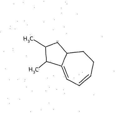 CC1[C]C2CCC=CC=C2C1C